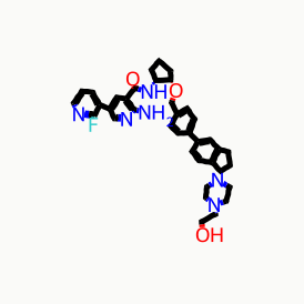 Nc1ncc(-c2cccnc2F)cc1C(=O)N[C@H]1CCC[C@@H]1OCc1ccc(-c2ccc3c(c2)CC[C@@H]3N2CCN(CCO)CC2)cc1